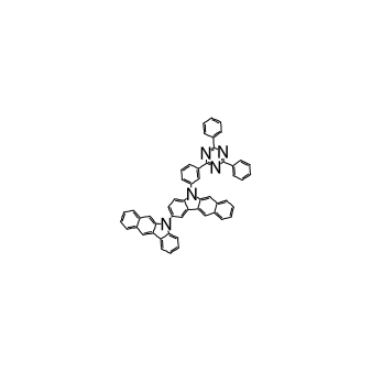 c1ccc(-c2nc(-c3ccccc3)nc(-c3cccc(-n4c5ccc(-n6c7ccccc7c7cc8ccccc8cc76)cc5c5cc6ccccc6cc54)c3)n2)cc1